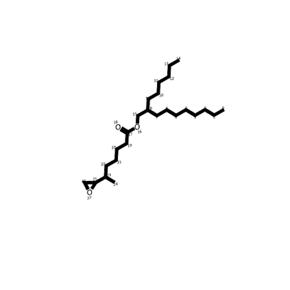 CCCCCCCCC(CCCCCC)COC(=O)CCCCC(C)C1CO1